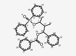 CC(OP(=O)(c1ccccc1)c1ccccc1)C(C)C(OC(=O)c1ccccc1)c1ccccc1